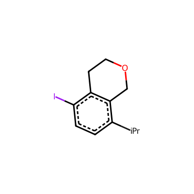 CC(C)c1ccc(I)c2c1COCC2